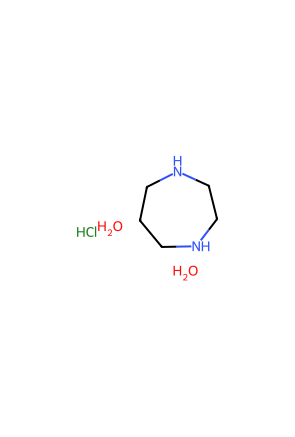 C1CNCCNC1.Cl.O.O